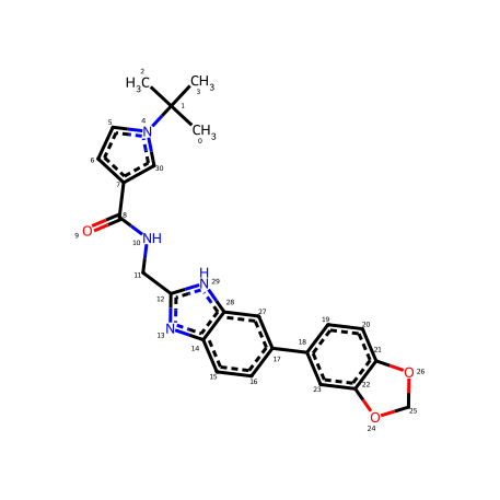 CC(C)(C)n1ccc(C(=O)NCc2nc3ccc(-c4ccc5c(c4)OCO5)cc3[nH]2)c1